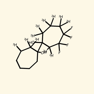 [2H]C1CCCCC(O)(C2(O)C([2H])([2H])C([2H])([2H])C([2H])([2H])C(F)(F)C(F)(F)C2([2H])[2H])C1([2H])[2H]